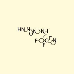 O=C(CN1CCNCC1)N1CCC(NC2CC2c2cc(F)cc(F)c2OCc2cccnc2F)CC1